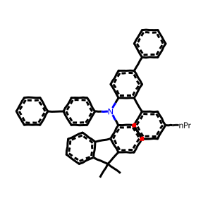 CCCc1cccc(-c2cc(-c3ccccc3)ccc2N(c2ccc(-c3ccccc3)cc2)c2cccc3c2-c2ccccc2C3(C)C)c1